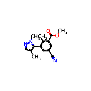 COC(=O)c1cc(C#N)cc(-c2c(C)cnn2C)c1C